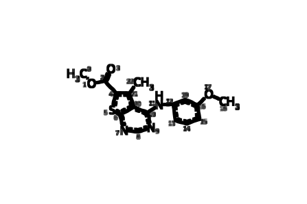 COC(=O)c1sc2ncnc(Nc3cccc(OC)c3)c2c1C